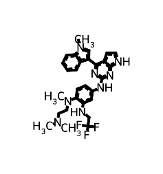 CN(C)CCN(C)c1ccc(Nc2nc(-c3cn(C)c4ccccc34)c3cc[nH]c3n2)cc1NCC(F)(F)F